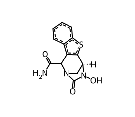 NC(=O)C1c2c(sc3ccccc23)[C@@H]2CN1C(=O)N2O